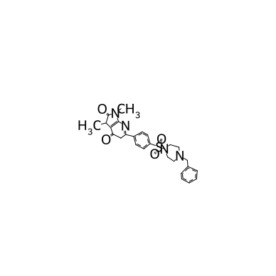 CC1C(=O)N(C)C2=C1C(=O)CC(c1ccc(S(=O)(=O)N3CCN(Cc4ccccc4)CC3)cc1)=N2